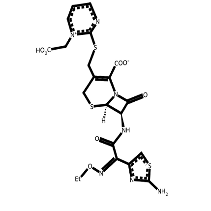 CCO/N=C(\C(=O)N[C@@H]1C(=O)N2C(C(=O)[O-])=C(CSc3nccc[n+]3CC(=O)O)CS[C@H]12)c1csc(N)n1